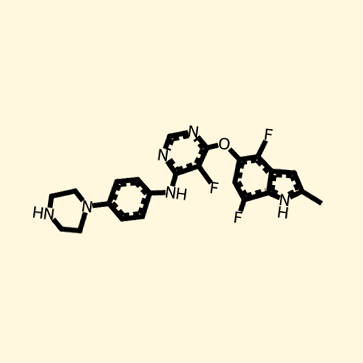 Cc1cc2c(F)c(Oc3ncnc(Nc4ccc(N5CCNCC5)cc4)c3F)cc(F)c2[nH]1